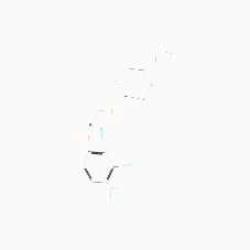 CCCC1CCC(OCC(F)(F)Oc2ccc(F)c(F)c2)CC1